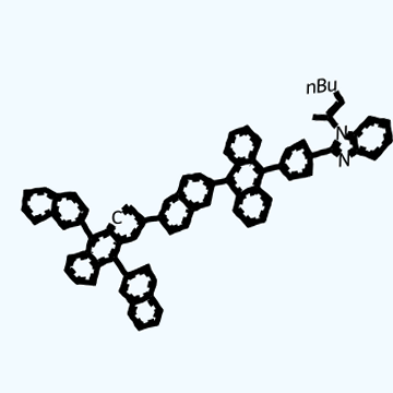 CCCC/C=C(\C)n1c(-c2ccc(-c3c4ccccc4c(-c4ccc5cc(-c6ccc7c(-c8ccc9ccccc9c8)c8ccccc8c(-c8ccc9ccccc9c8)c7c6)ccc5c4)c4ccccc34)cc2)nc2ccccc21